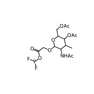 CC(=O)NC1C(OCC(=O)OP(F)F)OC(COC(C)=O)C(OC(C)=O)C1C